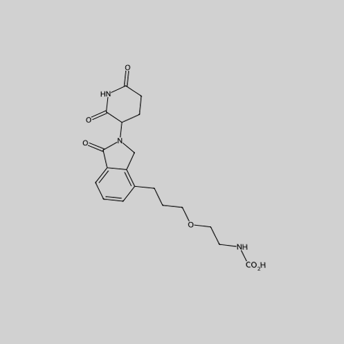 O=C(O)NCCOCCCc1cccc2c1CN(C1CCC(=O)NC1=O)C2=O